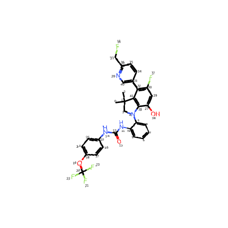 CC1(C)CN(c2ccccc2NC(=O)Nc2ccc(OC(F)(F)F)cc2)c2c(O)cc(F)c(-c3ccc(CF)nc3)c21